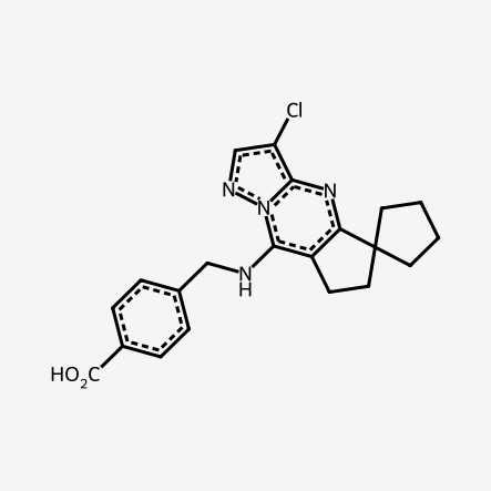 O=C(O)c1ccc(CNc2c3c(nc4c(Cl)cnn24)C2(CCCC2)CC3)cc1